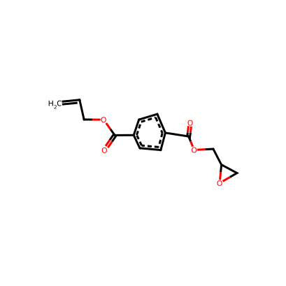 C=CCOC(=O)c1ccc(C(=O)OCC2CO2)cc1